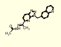 CC(=O)N/N=C(\C)c1ccc2nnn(Cc3ccc4ncccc4c3)c2n1